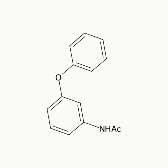 CC(=O)Nc1cccc(Oc2ccccc2)c1